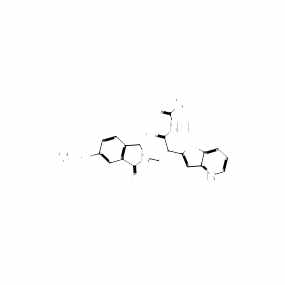 COc1ccc2c(c1)C(=O)N(C[C@@H](C(=O)NC(N)=O)c1cc3ncccc3o1)C2